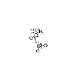 CC1(C)c2ccccc2-c2c1c1ccccc1c1c2c2ccccc2n1-c1ccc(-c2nc(-c3ccccc3)nc(-c3ccccc3)n2)cc1